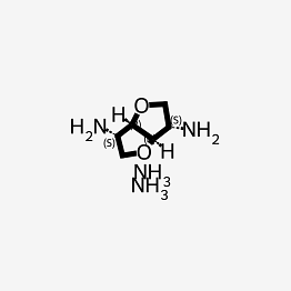 N.N.N[C@H]1CO[C@H]2[C@@H]1OC[C@@H]2N